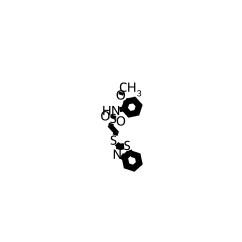 COc1ccccc1NS(=O)(=O)CCSc1nc2ccccc2s1